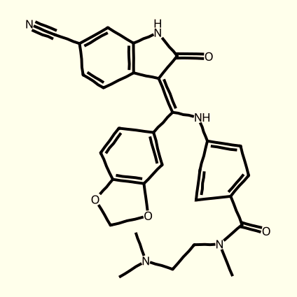 CN(C)CCN(C)C(=O)c1ccc(N/C(=C2\C(=O)Nc3cc(C#N)ccc32)c2ccc3c(c2)OCO3)cc1